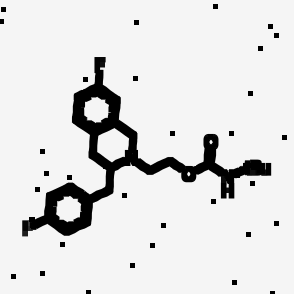 CC(C)(C)NC(=O)OCCN1Cc2cc(F)ccc2CC1Cc1ccc(F)cc1